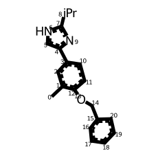 Cc1cc(-c2c[nH]c(C(C)C)n2)ccc1OCc1ccccc1